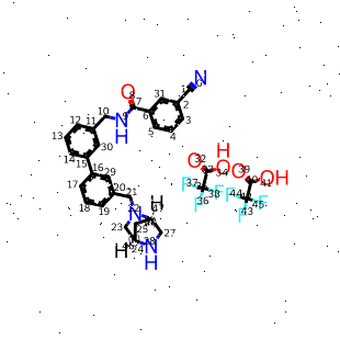 N#Cc1cccc(C(=O)NCc2cccc(-c3cccc(CN4C[C@H]5C[C@@H]4CN5)c3)c2)c1.O=C(O)C(F)(F)F.O=C(O)C(F)(F)F